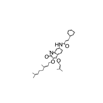 CC(C)=CCC/C(C)=C/COc1c(OCC=C(C)C)c2ccc(NC(=O)/C=C/c3ccccc3)cc2n(C)c1=O